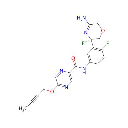 CC#CCOc1cnc(C(=O)Nc2ccc(F)c([C@]3(F)COCC(N)=N3)c2)cn1